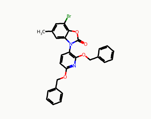 Cc1cc(Br)c2oc(=O)n(-c3ccc(OCc4ccccc4)nc3OCc3ccccc3)c2c1